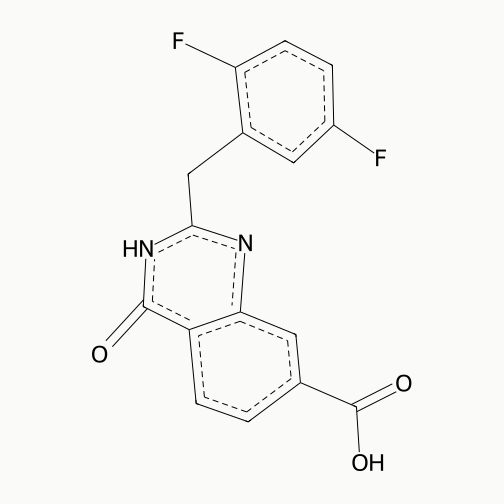 O=C(O)c1ccc2c(=O)[nH]c(Cc3cc(F)ccc3F)nc2c1